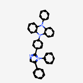 c1ccc(-c2cnc(-c3ccc(N4c5ccccc5N(c5ccccc5)c5ccccc54)cc3)n2-c2ccccc2)cc1